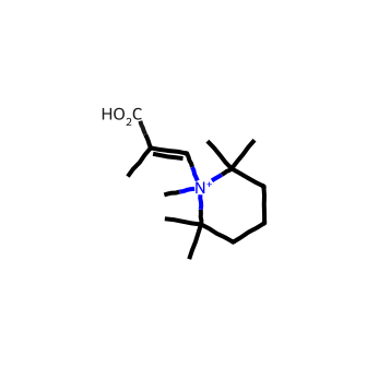 CC(=C[N+]1(C)C(C)(C)CCCC1(C)C)C(=O)O